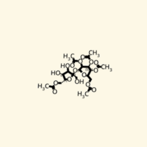 CC(=O)OCC1O[C@H](O[C@]2(CO)O[C@H](COC(C)=O)[C@H](O)C2O)C(OC(C)=O)[C@@H](OC(C)=O)[C@@H]1OC(C)=O